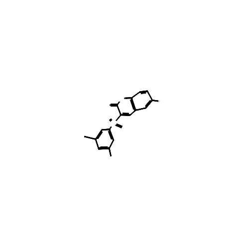 Cc1cc(C)cc(S(=O)(=O)c2cc3cc(Cl)ccc3oc2=O)c1